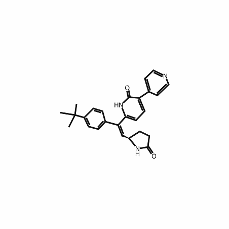 CC(C)(C)c1ccc(C(=C[C@H]2CCC(=O)N2)c2ccc(-c3ccncc3)c(=O)[nH]2)cc1